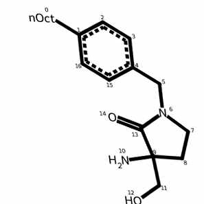 CCCCCCCCc1ccc(CN2CCC(N)(CO)C2=O)cc1